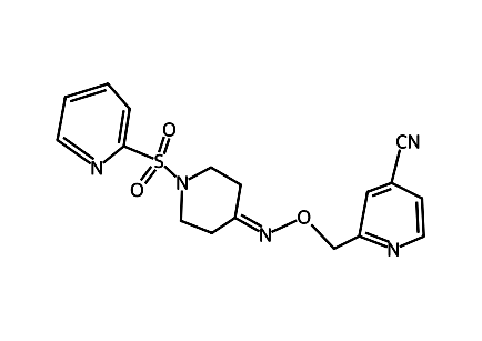 N#Cc1ccnc(CON=C2CCN(S(=O)(=O)c3ccccn3)CC2)c1